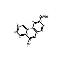 CSc1ccc(C=C(C(C)=O)c2ccncc2)cc1